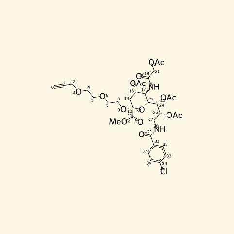 C#CCOCCOCCO[C@]1(C(=O)OC)C[C@H](OC(C)=O)[C@@H](NC(=O)COC(C)=O)[C@H]([C@H](OC(C)=O)[C@@H](CNC(=O)c2ccc(Cl)cc2)OC(C)=O)O1